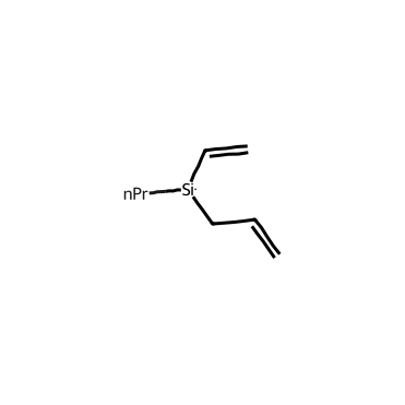 C=CC[Si](C=C)CCC